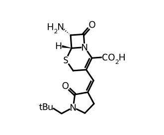 CC(C)(C)CN1CCC(=CC2=C(C(=O)O)N3C(=O)[C@@H](N)[C@H]3SC2)C1=O